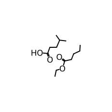 CC(C)CCC(=O)O.CCCCC(=O)OCC